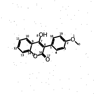 COc1ccc(-c2c(O)c3ccccc3oc2=O)cc1